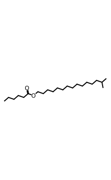 CCCCCC(=O)OCCCCCCCCCCCCCC(C)C